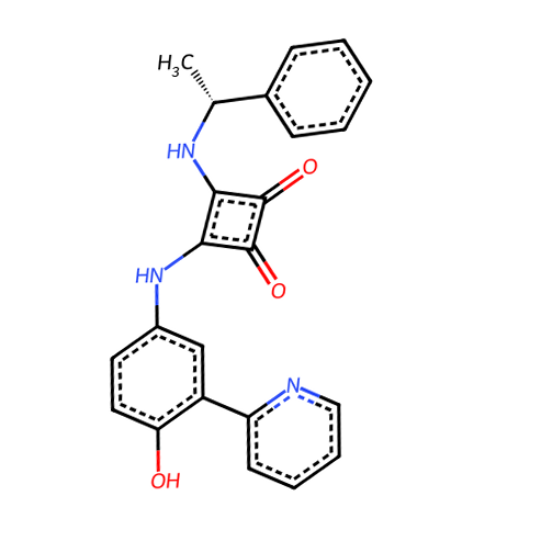 C[C@@H](Nc1c(Nc2ccc(O)c(-c3ccccn3)c2)c(=O)c1=O)c1ccccc1